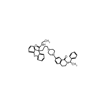 CCNC(=O)C1(CCCN2CCN(c3ccc4c(c3)C(=O)N(C(C)c3ccccc3)CC4)CC2)c2ccccc2Sc2ccccc21